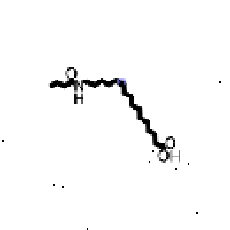 CCCC(=O)NCCCC/C=C\CCCCCCCCCC(=O)O